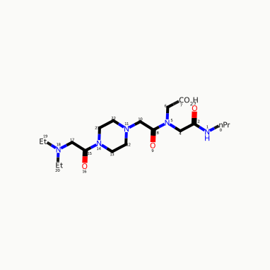 CCCNC(=O)CN(CC(=O)O)C(=O)CN1CCN(C(=O)CN(CC)CC)CC1